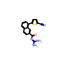 N#Cc1ccc(-c2cccc3ccc(C(=O)N=C(N)N)cc23)s1